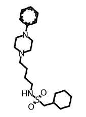 O=S(=O)(CC1CCCCC1)NCCCCN1CCN(c2ccccc2)CC1